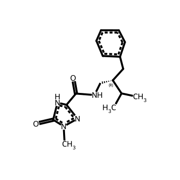 CC(C)[C@H](CNC(=O)c1nn(C)c(=O)[nH]1)Cc1ccccc1